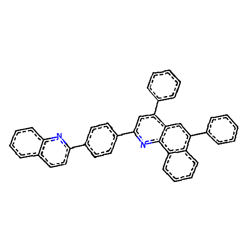 c1ccc(-c2cc3c(-c4ccccc4)cc(-c4ccc(-c5ccc6ccccc6n5)cc4)nc3c3ccccc23)cc1